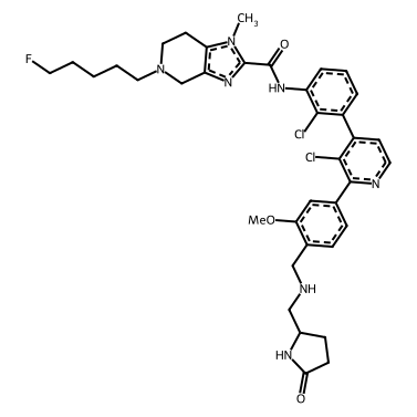 COc1cc(-c2nccc(-c3cccc(NC(=O)c4nc5c(n4C)CCN(CCCCCF)C5)c3Cl)c2Cl)ccc1CNCC1CCC(=O)N1